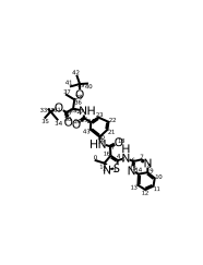 Cc1nsc(Nc2cnc3ccccc3n2)c1C(=O)Nc1cccc(C(=O)NC(C(=O)OC(C)(C)C)C(C)OC(C)(C)C)c1